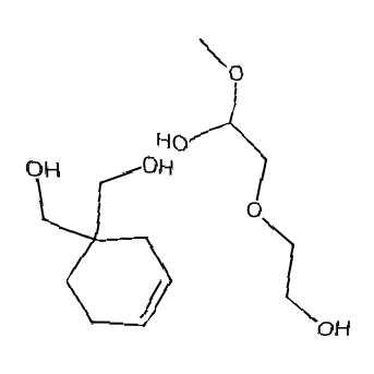 COC(O)COCCO.OCC1(CO)CC=CCC1